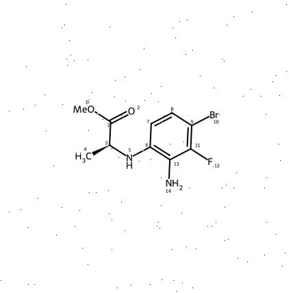 COC(=O)[C@H](C)Nc1ccc(Br)c(F)c1N